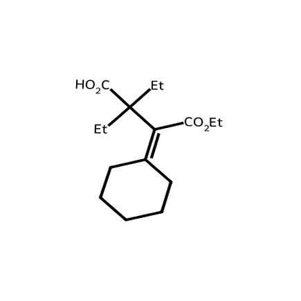 CCOC(=O)C(=C1CCCCC1)C(CC)(CC)C(=O)O